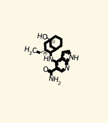 CC[C@@H]1C[C@@]2(O)CCCC(C2)C1Nc1c(C(N)=O)cnc2[nH]ccc12